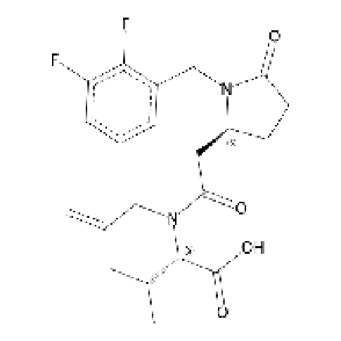 C=CCN(C(=O)C[C@@H]1CCC(=O)N1Cc1cccc(F)c1F)[C@H](C(=O)O)C(C)C